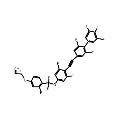 C=CCOc1ccc(C(F)(F)Oc2cc(F)c(C#Cc3cc(F)c(-c4cc(F)c(F)c(F)c4)c(F)c3)c(F)c2)c(F)c1